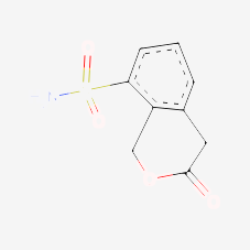 NS(=O)(=O)c1cccc2c1COC(=O)C2